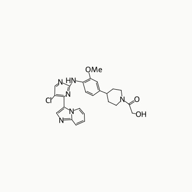 COc1cc(C2CCN(C(=O)CO)CC2)ccc1Nc1ncc(Cl)c(-c2cnc3ccccn23)n1